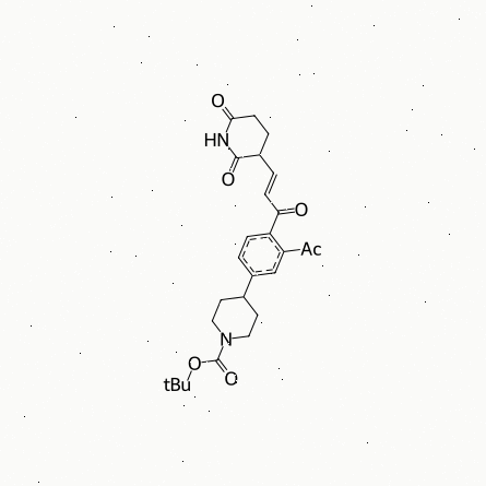 CC(=O)c1cc(C2CCN(C(=O)OC(C)(C)C)CC2)ccc1C(=O)/C=C/C1CCC(=O)NC1=O